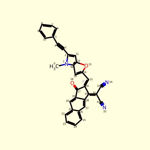 Cn1c(C#Cc2ccccc2)cc2oc(/C=C3\C(=O)c4cc5ccccc5cc4C3=C(C#N)C#N)cc21